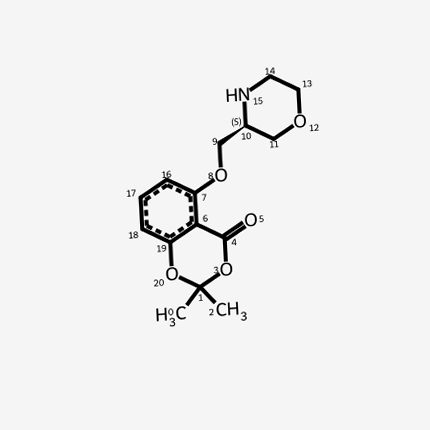 CC1(C)OC(=O)c2c(OC[C@@H]3COCCN3)cccc2O1